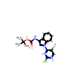 CC(C)(C)OC(=O)Nc1cn(-c2nc(Cl)ncc2Cl)c2ccccc12